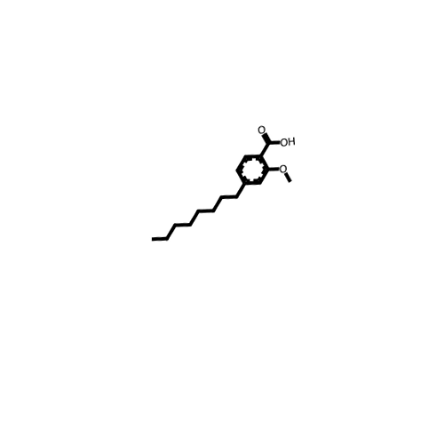 CCCCCCCCc1ccc(C(=O)O)c(OC)c1